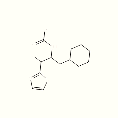 O=C(O)NC(CC1CCCCC1)C(O)c1nccs1